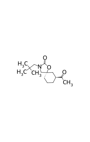 CC(=O)[C@H]1CCC[C@]2(C1)CN(CC(C)(C)C)C(=O)O2